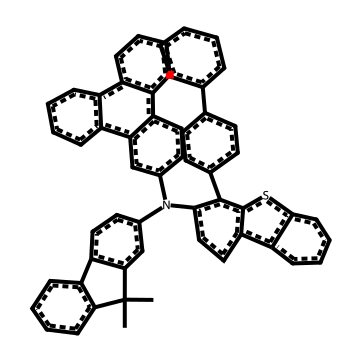 CC1(C)c2ccccc2-c2ccc(N(c3ccc4c5ccccc5c5ccccc5c4c3)c3ccc4c(sc5ccccc54)c3-c3ccc(-c4ccccc4)cc3)cc21